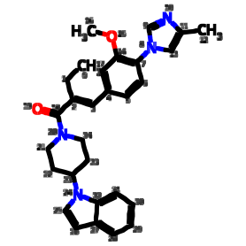 CCC(=Cc1ccc(-n2cnc(C)c2)c(OC)c1)C(=O)N1CCC(n2ccc3ccccc32)CC1